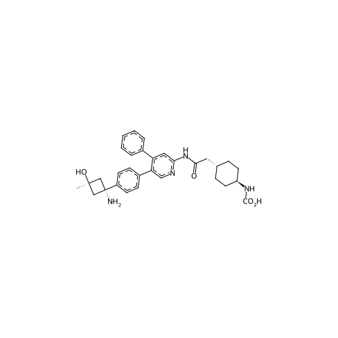 C[C@]1(O)C[C@@](N)(c2ccc(-c3cnc(NC(=O)C[C@H]4CC[C@H](NC(=O)O)CC4)cc3-c3ccccc3)cc2)C1